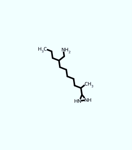 CCCC(CN)CCCCCC(C)C1NN1